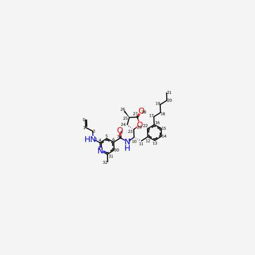 C=CCNc1cc(C(=O)N[C@@H](Cc2cccc(CCCCC)c2)[C@@H]2C[C@@H](C)C(=O)O2)cc(C)n1